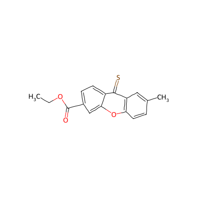 CCOC(=O)c1ccc2c(=S)c3cc(C)ccc3oc2c1